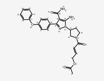 CC(=O)OCC=CC(=O)N1CCC(n2nc(-c3ccc(Oc4ccccc4)cc3)c(C(N)=O)c2N)C1